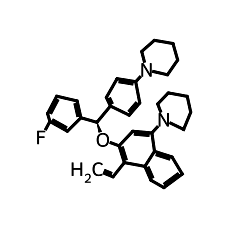 C=Cc1c(O[C@H](c2ccc(N3CCCCC3)cc2)c2cccc(F)c2)cc(N2CCCCC2)c2ccccc12